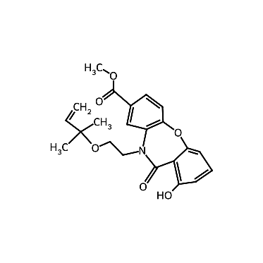 C=CC(C)(C)OCCN1C(=O)c2c(O)cccc2Oc2ccc(C(=O)OC)cc21